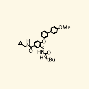 COc1ccc(-c2cccc(Oc3ccc(C(=O)NCC4CC4)cc3SNC(=O)NC(C)(C)C)c2)cc1